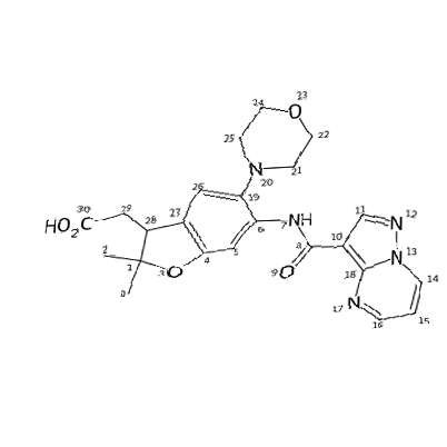 CC1(C)Oc2cc(NC(=O)c3cnn4cccnc34)c(N3CCOCC3)cc2C1CC(=O)O